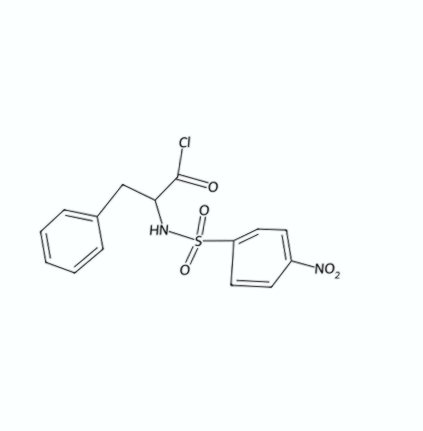 O=C(Cl)C(Cc1ccccc1)NS(=O)(=O)c1ccc([N+](=O)[O-])cc1